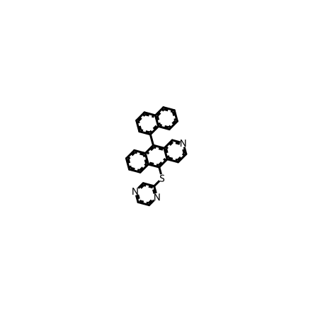 c1ccc2c(-c3c4ccccc4c(Sc4cnccn4)c4ccncc34)cccc2c1